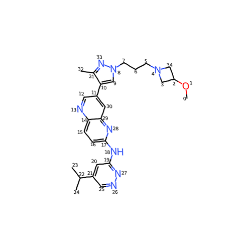 COC1CN(CCCn2cc(-c3cnc4ccc(Nc5cc(C(C)C)cnn5)nc4c3)c(C)n2)C1